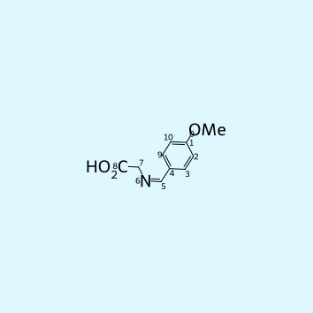 COc1ccc(/C=N\CC(=O)O)cc1